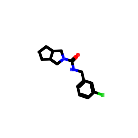 O=C(NCc1cccc(Cl)c1)N1CC2C[CH]CC2C1